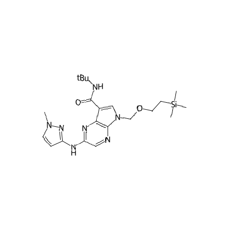 Cn1ccc(Nc2cnc3c(n2)c(C(=O)NC(C)(C)C)cn3COCC[Si](C)(C)C)n1